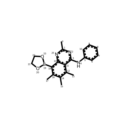 Cc1nc(Nc2ccccc2)c2c(C)c(C)c(C)c(B3OCCO3)c2n1